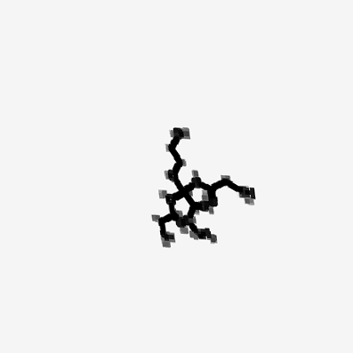 NOC(=O)C(OCCO)(OC(=O)CS)OC(=O)CS